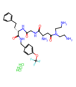 Cl.Cl.Cl.NCCN(CCN)C(=O)C[C@H](N)C(=O)NCC(=O)N[C@@H](CCc1ccccc1)C(=O)NCc1ccc(OC(F)(F)F)cc1